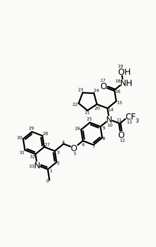 Cc1cc(COc2ccc(N(C(=O)C(F)(F)F)C(CC(=O)NO)C3CCCC3)cc2)c2ccccc2n1